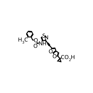 Cc1ccccc1COC(=O)Nc1csnc1C#Cc1cc2cc(C3(C(=O)O)CC3)oc2o1